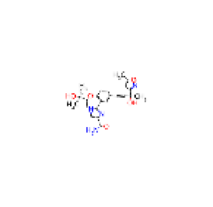 Cc1cc([C@](C)(O)C#Cc2ccc3c(c2)-c2nc(C(N)=O)cn2CC(C(C)(C)O)O3)no1